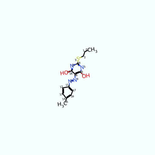 CCCSc1nc(O)c(/N=N/c2ccc(C)cc2)c(O)n1